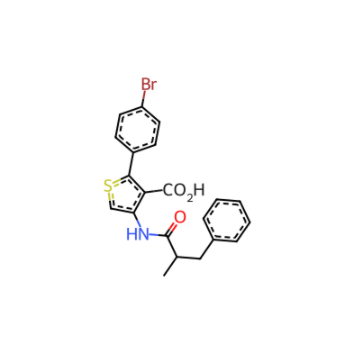 CC(Cc1ccccc1)C(=O)Nc1csc(-c2ccc(Br)cc2)c1C(=O)O